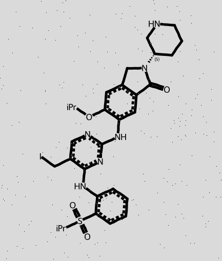 CC(C)Oc1cc2c(cc1Nc1ncc(CI)c(Nc3ccccc3S(=O)(=O)C(C)C)n1)C(=O)N([C@H]1CCCNC1)C2